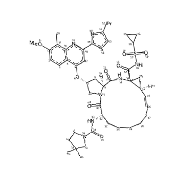 COc1ccc2c(O[C@@H]3C[C@H]4C(=O)N[C@]5(C(=O)NS(=O)(=O)C6CC6)C[C@H]5/C=C\CCCCC[C@H](NC(=O)N5CCC(C)(C)C5)C(=O)N4C3)cc(-c3nc(C(C)C)cs3)nc2c1C